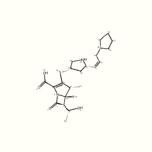 C[C@@H](O)[C@H]1C(=O)N2C(C(=O)O)=C(S[C@@H]3CN[C@H](/C=C\CN4CCCC4)C3)[C@H](C)[C@H]12